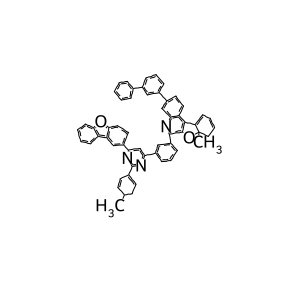 CC1C=CC(c2nc(-c3cccc(-c4nc5cc(-c6cccc(-c7ccccc7)c6)ccc5c5c4OC4(C)CC=CC=C54)c3)cc(-c3ccc4oc5ccccc5c4c3)n2)=CC1